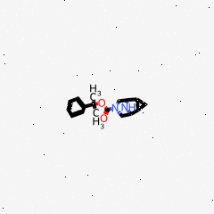 CC(C)(OC(=O)N1CC2NC(C1)C1CC21)c1ccccc1